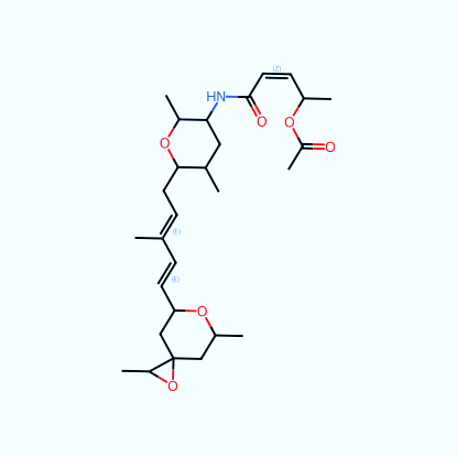 CC(=O)OC(C)/C=C\C(=O)NC1CC(C)C(C/C=C(C)/C=C/C2CC3(CC(C)O2)OC3C)OC1C